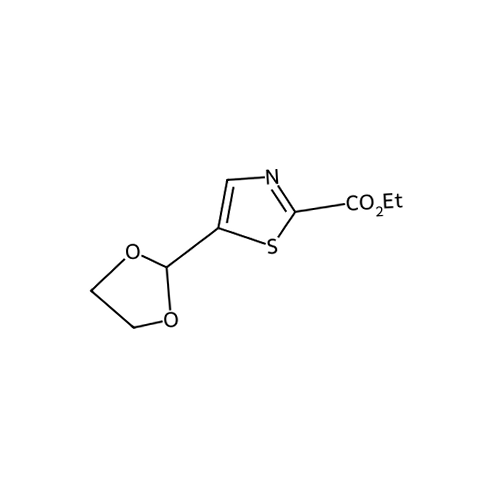 CCOC(=O)c1ncc(C2OCCO2)s1